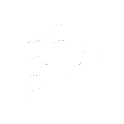 CCOc1cc2ncnc(Nc3ccc(F)c(Cl)c3)c2cc1OCCN(C)C(=O)OC(C)(C)C